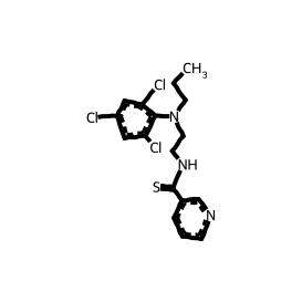 CCCN(CCNC(=S)c1cccnc1)c1c(Cl)cc(Cl)cc1Cl